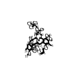 C=CCOc1c(C)c2c(c3c1C[C@H]1[C@@H]4N[C@H](Cc5cc(C)c(OC)c(O)c54)[C@H](C#N)N1[C@H]3CNC(=O)OCC(Cl)(Cl)Cl)OCO2